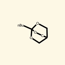 CCCCC12OCC(CO1)CO2